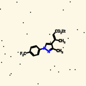 CCOC(=O)C=C(C)c1cn(-c2ccc(C(F)(F)F)cc2)nc1C